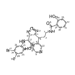 O=C(NCCC(c1cccnc1)c1nonc1C(=NO)Nc1ccc(F)c(Br)c1)c1ccccc1O